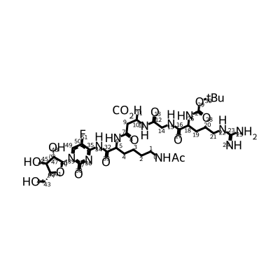 CC(=O)NCCCCC(NC(=O)CC(NC(=O)CNC(=O)C(CCCNC(=N)N)NC(=O)OC(C)(C)C)C(=O)O)C(=O)Nc1nc(=O)n([C@@H]2O[C@H](CO)C(O)[C@@H]2O)cc1F